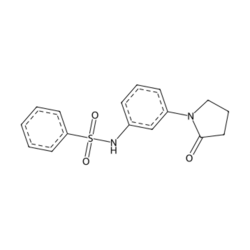 O=C1CCCN1c1cccc(NS(=O)(=O)c2ccccc2)c1